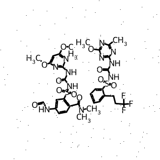 COc1cc(OC)nc(NC(=O)NS(=O)(=O)c2cc(NC=O)ccc2C(=O)N(C)C)n1.COc1nc(C)nc(NC(=O)NS(=O)(=O)c2ccccc2CCC(F)(F)F)n1